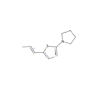 C/C=C/c1ccc(N2CCCC2)s1